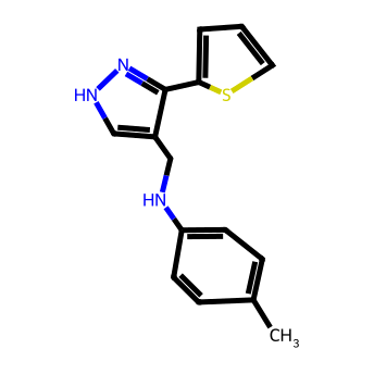 Cc1ccc(NCc2c[nH]nc2-c2cccs2)cc1